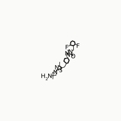 Cc1nc(N2CC(C)(N)C2)sc1Cc1ccc(-n2ncn(Cc3c(F)cccc3F)c2=O)cc1